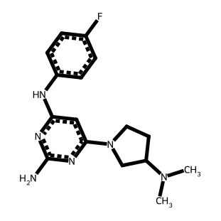 CN(C)C1CCN(c2cc(Nc3ccc(F)cc3)nc(N)n2)C1